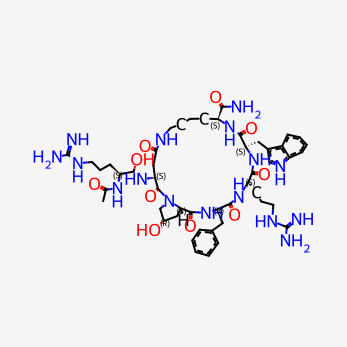 CC(=O)N[C@@H](CCCNC(=N)N)C(O)N[C@H]1CC(=O)NCCCC[C@@H](C(N)=O)NC(=O)[C@H](Cc2c[nH]c3ccccc23)NC(=O)[C@H](CCCNC(=N)N)NC(=O)[C@@H](Cc2ccccc2)NC(=O)[C@@H]2C[C@@H](O)CN2C1=O